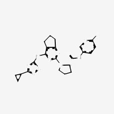 O=C(Nc1ccc(F)nc1)[C@@H]1CCCN1c1nc2c(c(Nc3n[nH]c(C4CC4)n3)n1)CCC2